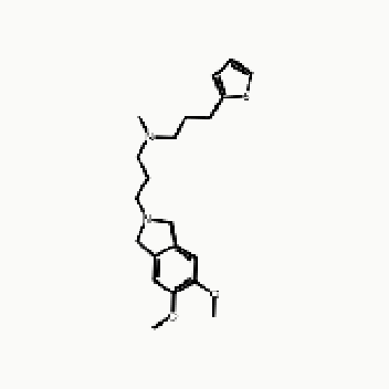 COc1cc2c(cc1OC)CN(CCCN(C)CCCc1cccs1)C2